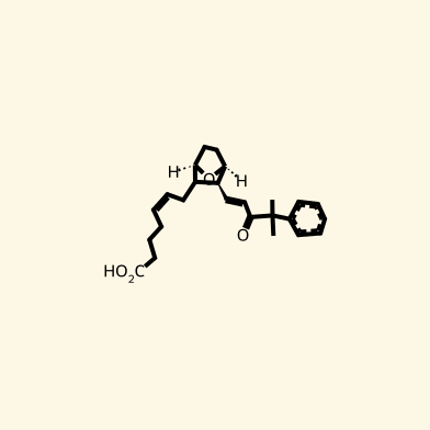 CC(C)(C(=O)/C=C/[C@H]1C(C/C=C\CCCC(=O)O)[C@H]2CC[C@@H]1O2)c1ccccc1